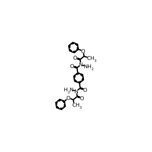 CC(Oc1ccccc1)C(=O)N(N)C(=O)c1ccc(C(=O)N(N)C(=O)C(C)Oc2ccccc2)cc1